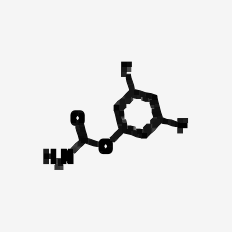 NC(=O)Oc1cc(F)cc(F)c1